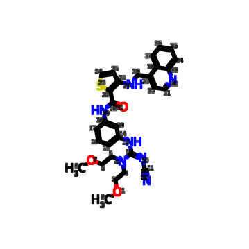 COCCN(CCOC)/C(=N\C#N)Nc1cccc(NC(=O)c2sccc2NCc2ccnc3ccccc23)c1